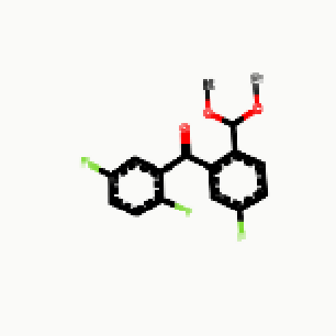 CCOC(OCC)c1ccc(F)cc1C(=O)c1cc(F)ccc1F